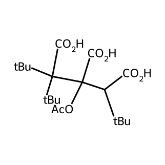 CC(=O)OC(C(=O)O)(C(C(=O)O)C(C)(C)C)C(C(=O)O)(C(C)(C)C)C(C)(C)C